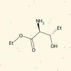 CCOC(=O)[C@@H](N)[C@@H](O)CC